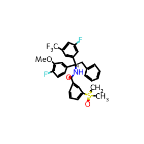 C=S(C)(=O)c1cccc(C(=O)N[C@@](Cc2ccccc2)(c2cc(F)cc(C(F)(F)F)c2)c2ccc(F)c(OC)c2)c1